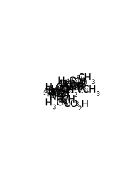 C=C(C)[C@@H]1CC[C@]2(C)CC[C@]3(C)[C@H](CC[C@@H]4[C@@]5(C)CC[C@](CCC[N+]6(C(N)=O)CCCC6)(OC(=O)CC(C)(C)CC(=O)O)C(C)(C)[C@@H]5CC[C@]43C)[C@@H]12